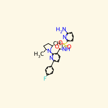 C[C@@H]1CC[C@H](C)N1c1nc(-c2ccc(F)cc2)ccc1C(=O)NS(=O)(=O)c1cccc(N)n1